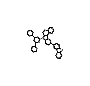 c1ccc(-c2cc(-c3ccccn3)nc(-n3c4ccc(-c5ccc6oc7ccccc7c6c5)cc4c4c5ccccc5ccc43)c2)cc1